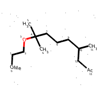 COCCOC(C)(C)CCCC(C)CC(C)=O